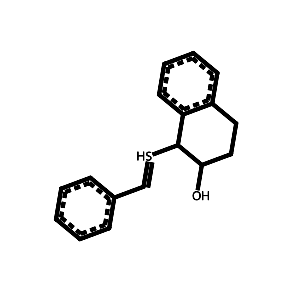 OC1CCc2ccccc2C1/[SH]=C/c1ccccc1